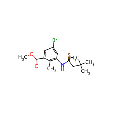 COC(=O)c1cc(Br)cc(NC(=S)CC(C)(C)C)c1C